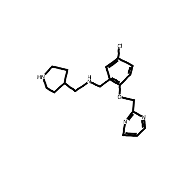 Clc1ccc(OCc2ncccn2)c(CNCC2CCNCC2)c1